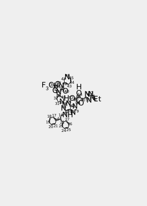 CCn1nnc([C@H]2O[C@@H](n3cnc4c(NCC(c5ccccc5)c5ccccc5)nc(N5CC[C@@H](N(OC(=O)C(F)(F)F)C(=O)Nc6cccnc6)C5)nc43)[C@@H](O)[C@@H]2O)n1